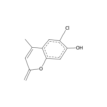 C=C1C=C(C)c2cc(Cl)c(O)cc2O1